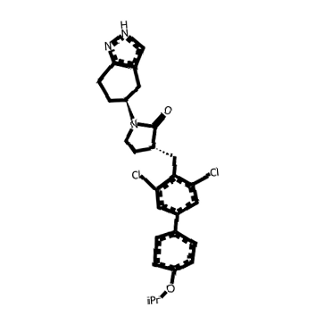 CC(C)Oc1ccc(-c2cc(Cl)c(C[C@@H]3CCN([C@H]4CCc5n[nH]cc5C4)C3=O)c(Cl)c2)cc1